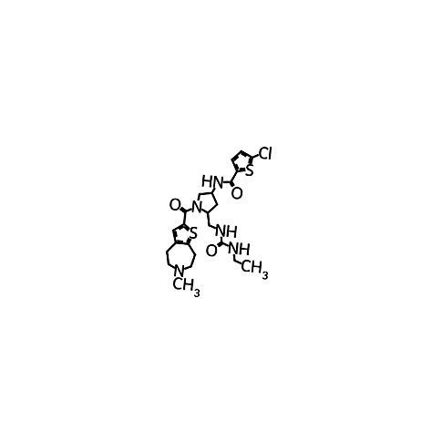 CCNC(=O)NCC1CC(NC(=O)c2ccc(Cl)s2)CN1C(=O)c1cc2c(s1)CCN(C)CC2